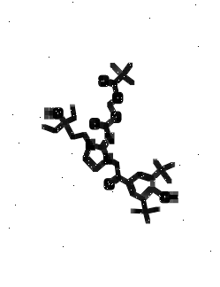 CCC(O)(CC)CCn1ccn(CC(=O)c2cc(C(C)(C)C)c(O)c(C(C)(C)C)c2)/c1=N/C(=O)OCOC(=O)C(C)(C)C